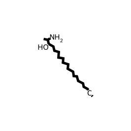 CCCCCCCCCCCCCCCCCC(O)C(C)N